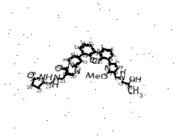 COc1nc(-c2cccc(-c3cccc(-c4ccn5c(=O)c(CNC[C@H]6CCC(=O)N6)cnc5c4)c3Cl)c2Cl)ccc1CNC[C@@H](C)O